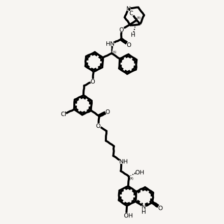 O=C(N[C@@H](c1ccccc1)c1cccc(OCc2cc(Cl)cc(C(=O)OCCCCNC[C@H](O)c3ccc(O)c4[nH]c(=O)ccc34)c2)c1)O[C@H]1CN2CCC1CC2